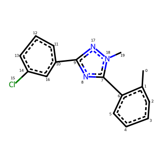 Cc1ccccc1-c1nc(-c2cccc(Cl)c2)nn1C